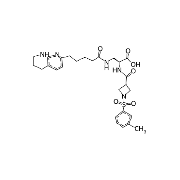 Cc1cccc(S(=O)(=O)N2CC(C(=O)N[C@@H](CNC(=O)CCCCc3ccc4c(n3)NCCC4)C(=O)O)C2)c1